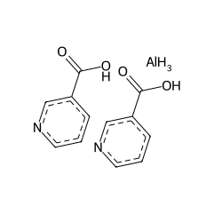 O=C(O)c1cccnc1.O=C(O)c1cccnc1.[AlH3]